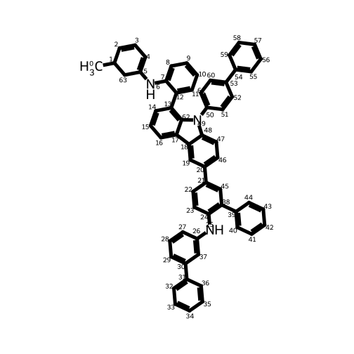 CC1C=CC=C(Nc2ccccc2-c2cccc3c4cc(-c5ccc(Nc6cccc(-c7ccccc7)c6)c(-c6ccccc6)c5)ccc4n(-c4ccc(-c5ccccc5)cc4)c23)C1